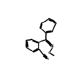 CON=C(c1ccccc1)c1ccccc1C#N